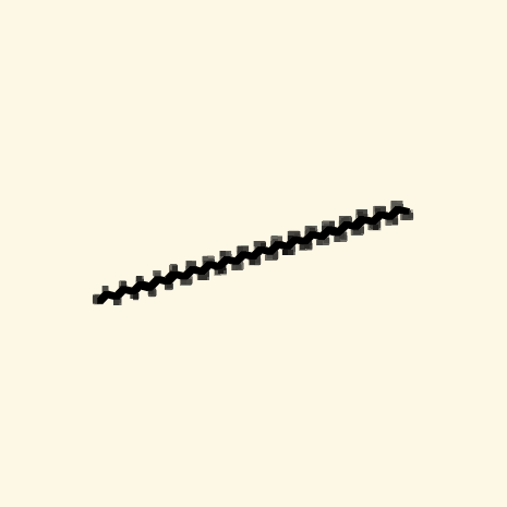 CCCCCC=CCC=CCCCCCCCCCCCCCCCCCC=CCC=CCCCCC